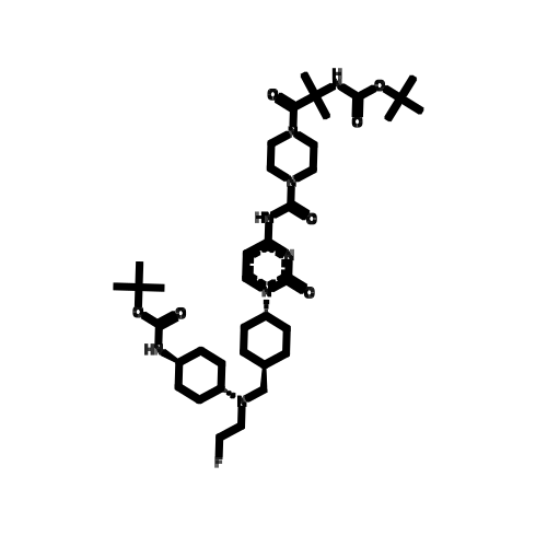 CC(C)(C)OC(=O)NC(C)(C)C(=O)N1CCN(C(=O)Nc2ccn([C@H]3CC[C@H](CN(CCF)[C@H]4CC[C@H](NC(=O)OC(C)(C)C)CC4)CC3)c(=O)n2)CC1